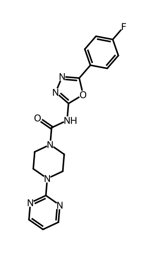 O=C(Nc1nnc(-c2ccc(F)cc2)o1)N1CCN(c2ncccn2)CC1